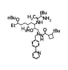 C=C(NC(C[C@H](C)CCC(CC)OCCCC)C(O)CN(Cc1ccc(-c2ccccn2)cc1)NC(=O)C1CC[C@@H]1C(C)(C)C)C(N)C(C)(C)C